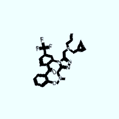 CCCN(Cc1nnc(CN(C)C)n1-c1cc(C(F)(F)F)ccc1C(=O)c1ccccc1Cl)CC1CC1